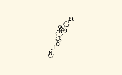 CCc1ccc(S(=O)(=O)N2CCc3cc(OCCCN4CCCC4)sc3C2)cc1